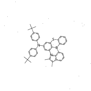 Cc1c(C)n2c3c(cccc13)B1c3ccccc3Sc3cc(N(c4ccc(C(C)(C)C)cc4)c4ccc(C(C)(C)C)cc4)cc-2c31